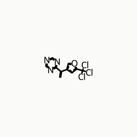 C=C(c1coc(C(Cl)(Cl)Cl)c1)c1ncncn1